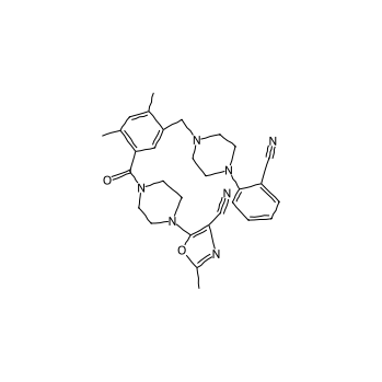 Cc1nc(C#N)c(N2CCN(C(=O)c3cc(CN4CCN(c5ccccc5C#N)CC4)c(C)cc3C)CC2)o1